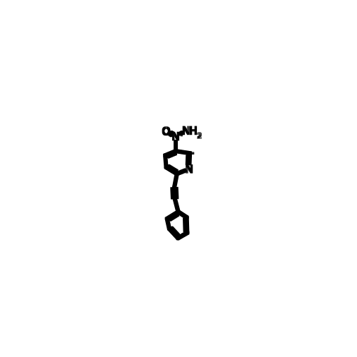 N[N+](=O)c1[c]nc(C#Cc2ccccc2)cc1